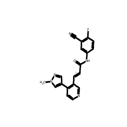 Cn1cc(-c2ccncc2/C=C/C(=O)Nc2ccc(F)c(C#N)c2)cn1